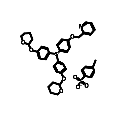 Cc1ccc(S(=O)(=O)[O-])cc1.c1ccc(COc2ccc([S+](c3ccc(OC4CCCCO4)cc3)c3ccc(OC4CCCCO4)cc3)cc2)nc1